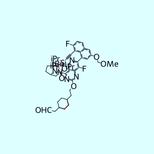 COCOc1cc(-c2ncc3c(N4CC5CCC(C4)N5C(=O)OC(C)(C)C)nc(OCCC45CCC(CC=O)(CC4)CC5)nc3c2F)c2c(C#C[Si](C(C)C)(C(C)C)C(C)C)c(F)ccc2c1